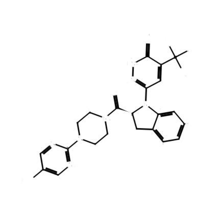 Cc1cnc(N2CCN(C(=O)[C@@H]3Cc4ccccc4N3c3cc(C(F)(F)F)c(=O)[nH]n3)CC2)nc1